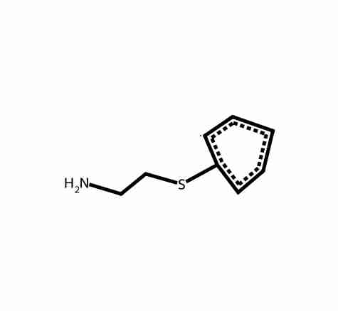 NCCSc1[c]cccc1